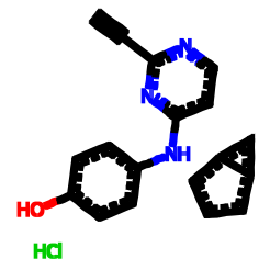 C#Cc1nccc(Nc2ccc(O)cc2)n1.Cl.c1cc2cc-2c1